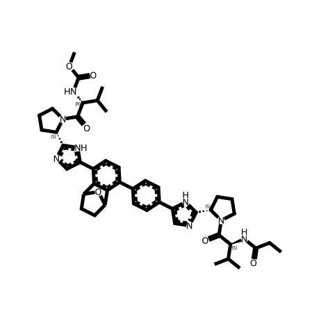 CCC(=O)N[C@H](C(=O)N1CCC[C@H]1c1ncc(-c2ccc(-c3ccc(-c4cnc([C@@H]5CCCN5C(=O)[C@H](NC(=O)OC)C(C)C)[nH]4)c4c3C3CCC4O3)cc2)[nH]1)C(C)C